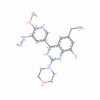 CCc1cc(Cl)c2nc(N3CCOCC3)nc(-c3cnc(OC)c(NC)c3)c2c1